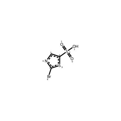 O=S(=O)(O)c1cnc(Br)s1